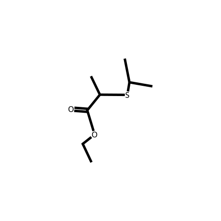 CCOC(=O)C(C)SC(C)C